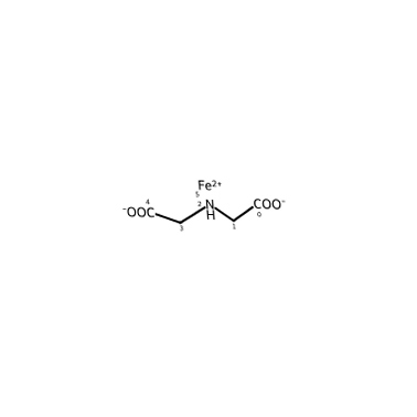 O=C([O-])CNCC(=O)[O-].[Fe+2]